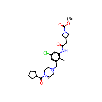 Cc1c(CN2CCN(C(=O)C3CCCC3)[C@@H](C)C2)cc(Cl)cc1NC(=O)CC1CN(C(=O)OC(C)(C)C)C1